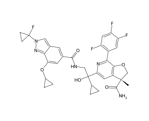 C[C@]1(C(N)=O)COc2c1cc(C(O)(CNC(=O)c1cc(OC3CC3)c3nn(C4(F)CC4)cc3c1)C1CC1)nc2-c1cc(F)c(F)cc1F